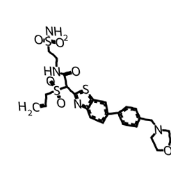 C=CCS(=O)(=O)C(C(=O)NCCS(N)(=O)=O)c1nc2ccc(-c3ccc(CN4CCOCC4)cc3)cc2s1